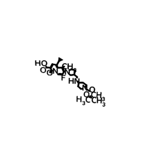 Cc1c(N2CCC(CNC3CCN(C(=O)OC(C)(C)C)CC3)C2)c(F)cn2c(=O)c(C(=O)O)cc(C3CC3)c12